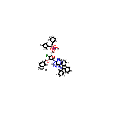 COc1ccc(CO[C@@H]2[C@@H](F)[C@@H](COP(=O)(OCc3ccccc3)OCc3ccccc3)O[C@H]2n2cnc3c(NC(c4ccccc4)(c4ccccc4)c4ccccc4)ncnc32)cc1